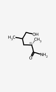 C[C](CO)C[C@H](C)C(N)=O